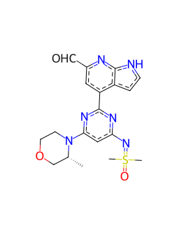 C[C@@H]1COCCN1c1cc(N=S(C)(C)=O)nc(-c2cc(C=O)nc3[nH]ccc23)n1